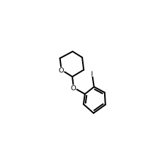 Ic1ccccc1OC1CCCCO1